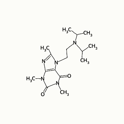 Cc1nc2c(c(=O)n(C)c(=O)n2C)n1CCN(C(C)C)C(C)C